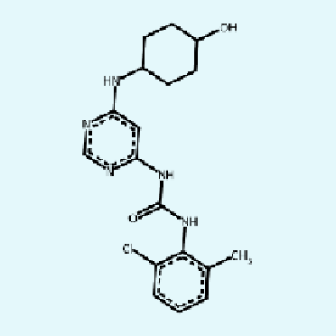 Cc1cccc(Cl)c1NC(=O)Nc1cc(NC2CCC(O)CC2)ncn1